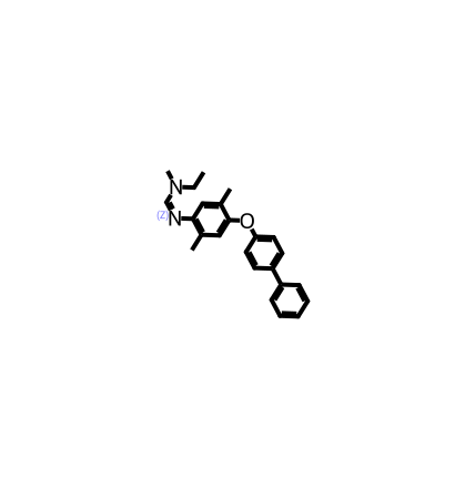 CCN(C)/C=N\c1cc(C)c(Oc2ccc(-c3ccccc3)cc2)cc1C